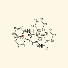 Nc1cc(C2CCCCC2)c(Nc2ccccc2)c(C2CCCCC2)c1C1CCCCC1